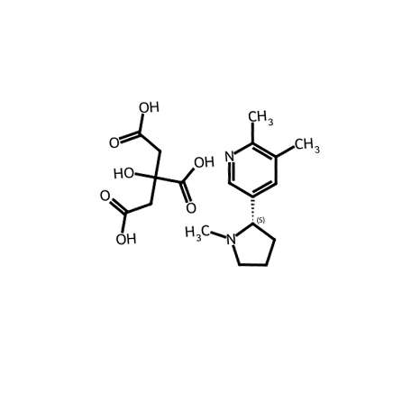 Cc1cc([C@@H]2CCCN2C)cnc1C.O=C(O)CC(O)(CC(=O)O)C(=O)O